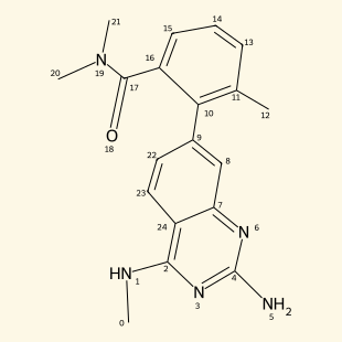 CNc1nc(N)nc2cc(-c3c(C)cccc3C(=O)N(C)C)ccc12